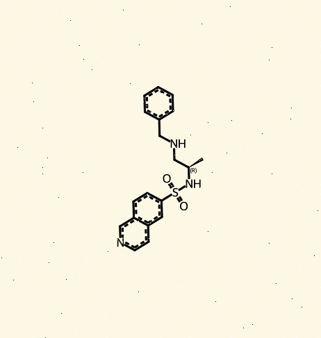 C[C@H](CNCc1ccccc1)NS(=O)(=O)c1ccc2cnccc2c1